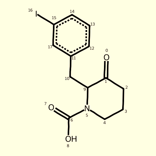 O=C1CCCN(C(=O)O)C1Cc1cccc(I)c1